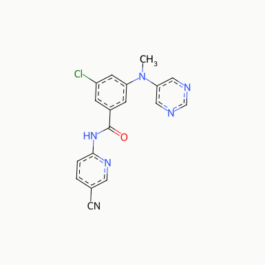 CN(c1cncnc1)c1cc(Cl)cc(C(=O)Nc2ccc(C#N)cn2)c1